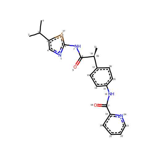 CC(C)c1cnc(NC(=O)[C@@H](C)c2ccc(NC(=O)c3ccccn3)cc2)s1